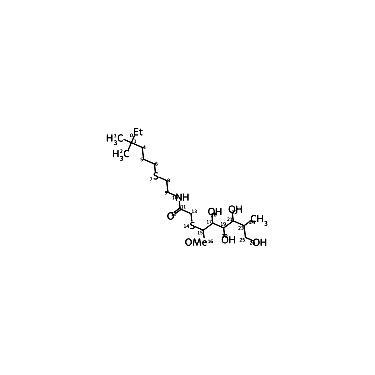 CCC(C)(C)CCCSCCNC(=O)CSC(OC)C(O)C(O)C(O)C(C)CO